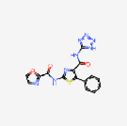 O=C(Nc1nc(C(=O)Nc2nnn[nH]2)c(-c2ccccc2)s1)c1ncco1